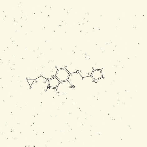 Brc1c(OCc2ccco2)ccc2c1nnn2CC1CC1